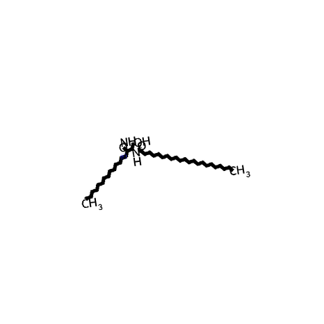 CCCCCCCCCCCCC/C=C/C(ON)C(CO)NC(=O)CCCCCCCCCCCCCCCCCCCCC